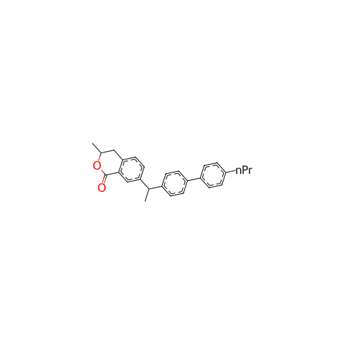 CCCc1ccc(-c2ccc(C(C)c3ccc4c(c3)C(=O)OC(C)C4)cc2)cc1